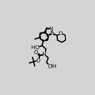 Cc1cc2cnn(C3CCCCO3)c2cc1C(O)CN(CCO)C(=O)OC(C)(C)C